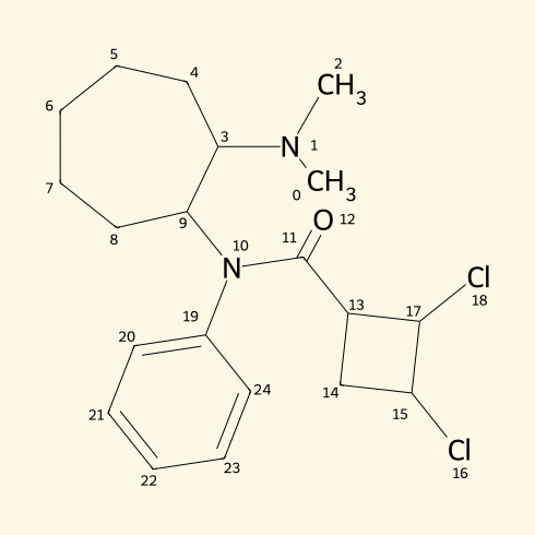 CN(C)C1CCCCCC1N(C(=O)C1CC(Cl)C1Cl)c1ccccc1